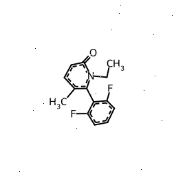 CCn1c(-c2c(F)cccc2F)c(C)ccc1=O